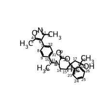 Cc1noc(C)c1-c1ccc([C@H](C)N2CCC(CC(C)(C)O)(c3ccccc3)OC2=O)cc1